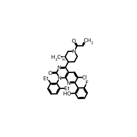 C=CC(=O)N1CCC(c2nc(=O)n(-c3c(CC)cccc3CC)c3nc(-c4c(O)cccc4F)c(Cl)cc23)[C@@H](C)C1